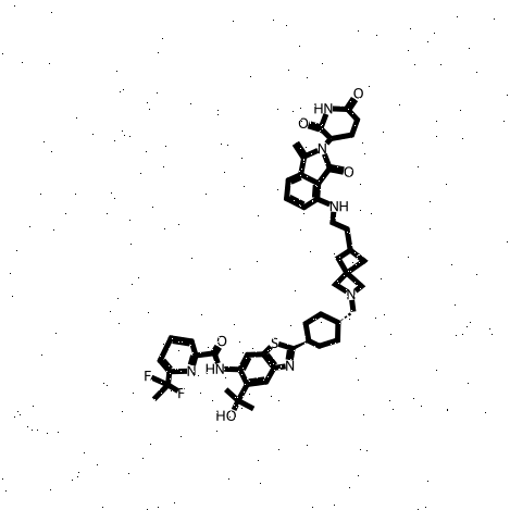 C=C1c2cccc(NCCC3CC4(C3)CN(C[C@H]3CC[C@H](c5nc6cc(C(C)(C)O)c(NC(=O)c7cccc(C(C)(F)F)n7)cc6s5)CC3)C4)c2C(=O)N1C1CCC(=O)NC1=O